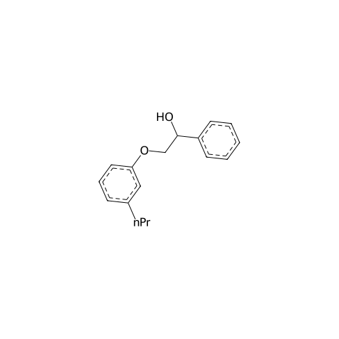 C[CH]Cc1cccc(OCC(O)c2ccccc2)c1